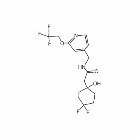 O=C(CC1(O)CCC(F)(F)CC1)NCc1ccnc(OCC(F)(F)F)c1